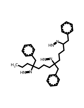 CCCC(CCCC(CCCC(Cc1ccccc1)N=N)(Cc1ccccc1)N=N)(Cc1ccccc1)N=N